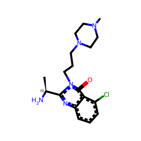 C[C@H](N)c1nc2cccc(Cl)c2c(=O)n1CCCN1CCN(C)CC1